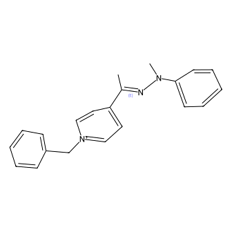 C/C(=N\N(C)c1ccccc1)c1cc[n+](Cc2ccccc2)cc1